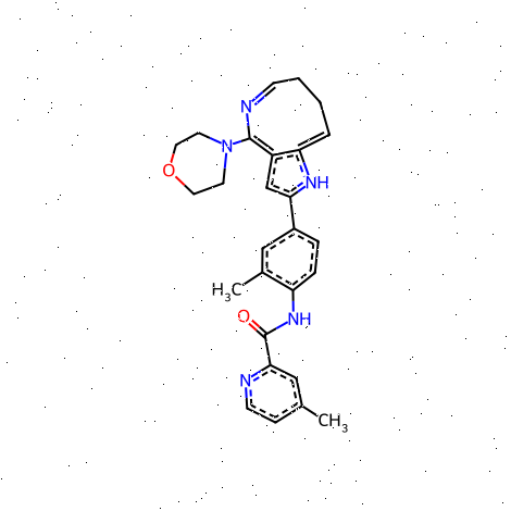 Cc1ccnc(C(=O)Nc2ccc(-c3cc4/c([nH]3)=C\CC/C=N\C=4N3CCOCC3)cc2C)c1